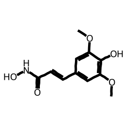 COc1cc(C=CC(=O)NO)cc(OC)c1O